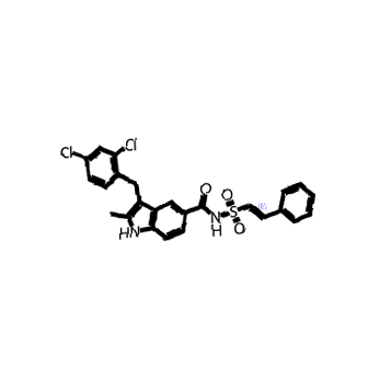 Cc1[nH]c2ccc(C(=O)NS(=O)(=O)/C=C/c3ccccc3)cc2c1Cc1ccc(Cl)cc1Cl